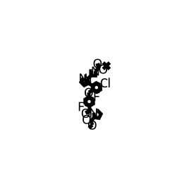 COC(=O)C1CCCN1C(=O)c1cc(F)c(Oc2ccc(Cl)cc2-c2ccnn2C2CN(C(=O)OC(C)(C)C)C2)cc1F